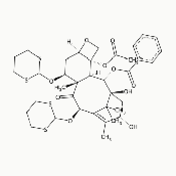 CC(=O)O[C@@]12CO[C@@H]1C[C@H](OC1SCCCS1)[C@@]1(C)C(=O)[C@H](OC3SCCCS3)C3=C(C)[C@@H](O)C[C@@](O)([C@@H](OC(=O)c4ccccc4)[C@H]21)C3(C)C